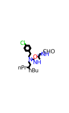 CCCCC(CCC)CCN(CCc1ccc(Cl)cc1)C(=N)O/C(C)=C/NC=O